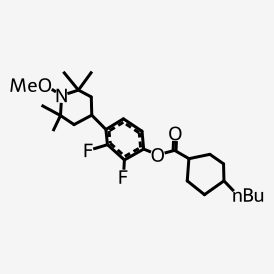 CCCCC1CCC(C(=O)Oc2ccc(C3CC(C)(C)N(OC)C(C)(C)C3)c(F)c2F)CC1